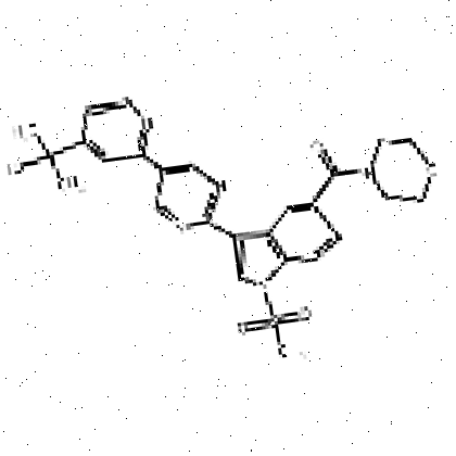 CC(C)(O)c1ccnc(-c2cnc(-c3cn(S(C)(=O)=O)c4ccc(C(=O)N5CCOCC5)cc34)nc2)c1